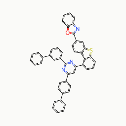 c1ccc(-c2ccc(-c3cc(-c4cccc5sc6cc(-c7nc8ccccc8o7)ccc6c45)nc(-c4cccc(-c5ccccc5)c4)n3)cc2)cc1